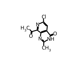 CC(=O)c1nc(Cl)cc2c(=O)[nH]c(C)nc12